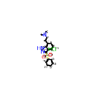 CN(C)CCc1cccc2c(S(=O)(=O)c3ccccc3)n[nH]c12.Cl